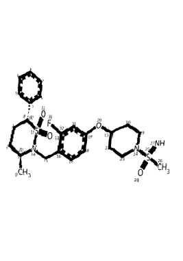 C[C@H]1CC[C@H](c2ccccc2)S(=O)(=O)N1Cc1ccc(OC2CCN(S(C)(=N)=O)CC2)cc1F